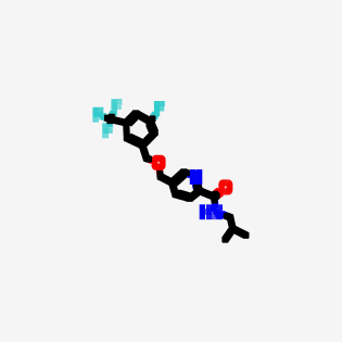 CC(C)CNC(=O)c1ccc(COCc2cc(F)cc(C(F)(F)F)c2)cn1